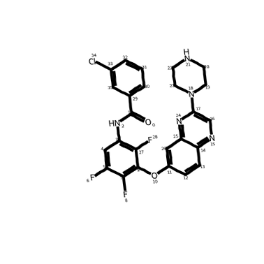 O=C(Nc1cc(F)c(F)c(Oc2ccc3ncc(N4CCNCC4)nc3c2)c1F)c1cccc(Cl)c1